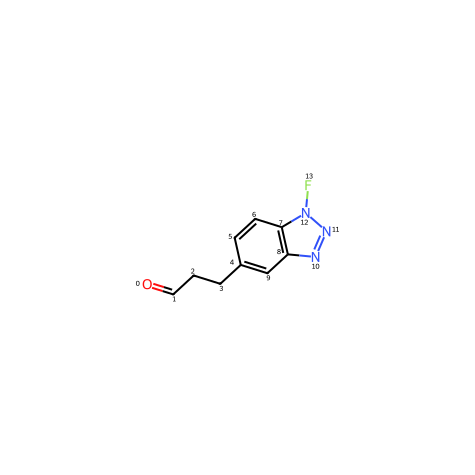 O=CCCc1ccc2c(c1)nnn2F